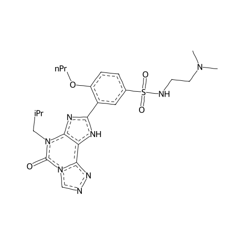 CCCOc1ccc(S(=O)(=O)NCCN(C)C)cc1-c1nc2c([nH]1)c1nncn1c(=O)n2CC(C)C